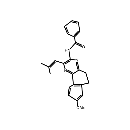 COc1ccc2c(c1)CCc1nc(NC(=O)c3ccccc3)c(C=C(C)C)nc1-2